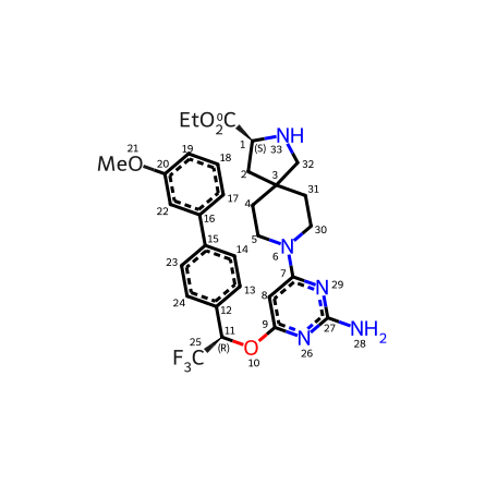 CCOC(=O)[C@@H]1CC2(CCN(c3cc(O[C@H](c4ccc(-c5cccc(OC)c5)cc4)C(F)(F)F)nc(N)n3)CC2)CN1